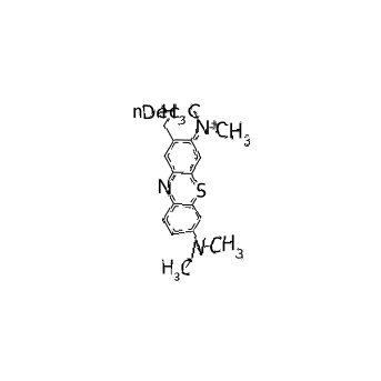 CCCCCCCCCCCc1cc2nc3ccc(N(C)C)cc3sc-2cc1=[N+](C)C